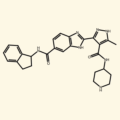 Cc1[nH]nc(-c2nc3ccc(C(=O)NC4CCc5ccccc54)cc3[nH]2)c1C(=O)NC1CCNCC1